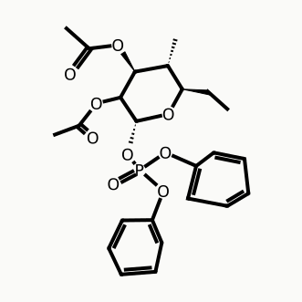 CC[C@H]1O[C@H](OP(=O)(Oc2ccccc2)Oc2ccccc2)C(OC(C)=O)[C@@H](OC(C)=O)[C@@H]1C